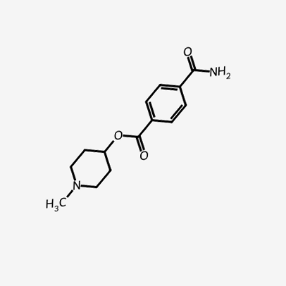 CN1CCC(OC(=O)c2ccc(C(N)=O)cc2)CC1